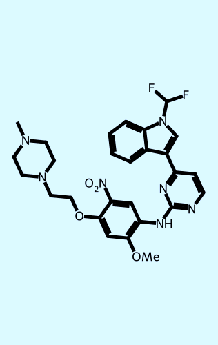 COc1cc(OCCN2CCN(C)CC2)c([N+](=O)[O-])cc1Nc1nccc(-c2cn(C(F)F)c3ccccc23)n1